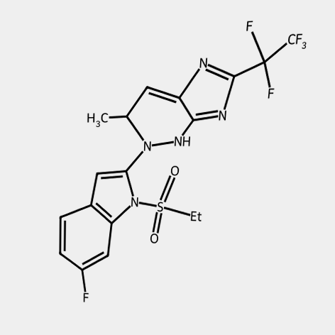 CCS(=O)(=O)n1c(N2NC3=NC(C(F)(F)C(F)(F)F)=NC3=CC2C)cc2ccc(F)cc21